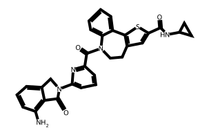 Nc1cccc2c1C(=O)N(c1cccc(C(=O)N3CCc4cc(C(=O)NC5CC5)sc4-c4ccccc43)n1)C2